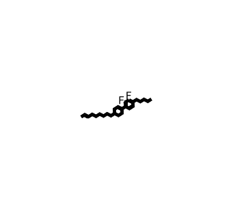 C/C=C/CCCCCCC1CC=C(c2ccc(CCCCC)c(F)c2F)CC1